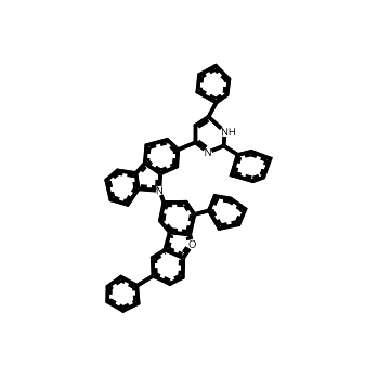 C1=C(c2ccccc2)NC(c2ccccc2)N=C1c1ccc2c3ccccc3n(-c3cc(-c4ccccc4)c4oc5ccc(-c6ccccc6)cc5c4c3)c2c1